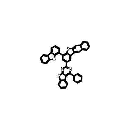 c1ccc(-c2nc(-c3cc(-c4cccc5c4oc4ccccc45)c4sc5c6oc(c7ccccc76)c5c4c3)nc3sc4ccccc4c23)cc1